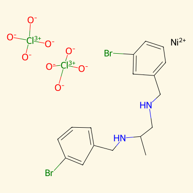 CC(CNCc1cccc(Br)c1)NCc1cccc(Br)c1.[Ni+2].[O-][Cl+3]([O-])([O-])[O-].[O-][Cl+3]([O-])([O-])[O-]